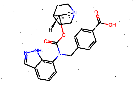 O=C(O)c1ccc(CN(C(=O)O[C@H]2CN3CCC2CC3)c2cccc3cn[nH]c23)cc1